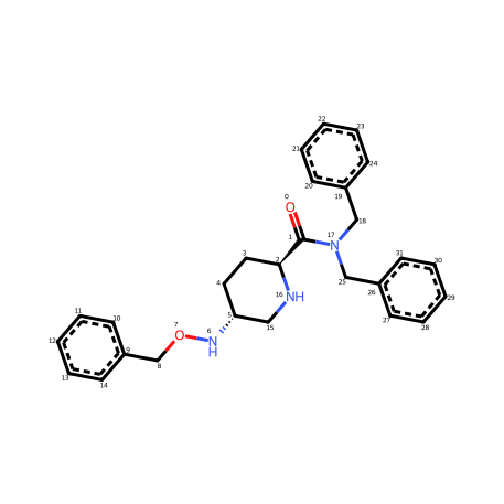 O=C([C@@H]1CC[C@@H](NOCc2ccccc2)CN1)N(Cc1ccccc1)Cc1ccccc1